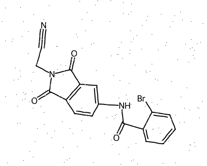 N#CCN1C(=O)c2ccc(NC(=O)c3ccccc3Br)cc2C1=O